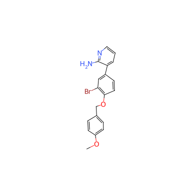 COc1ccc(COc2ccc(-c3cccnc3N)cc2Br)cc1